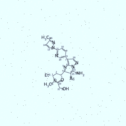 CC[C@H](CCc1nc2c(-c3ccc(-n4ccc(C)n4)nc3)cnn2c(N)c1C(C)=O)N(C)C(=O)CO